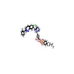 Cc1ccc(S(=O)(=O)OC[C@]2(O)C[C@H](c3nc(-c4ccc5ccc(-c6ccccc6)nc5c4)c4c(Cl)nccn43)C2)cc1